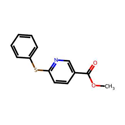 COC(=O)c1ccc(Sc2ccccc2)nc1